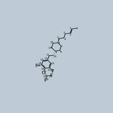 C/C=C/CCC[C@H]1CC[C@H](CCc2cc(F)c(OC(F)F)c(F)c2)CC1